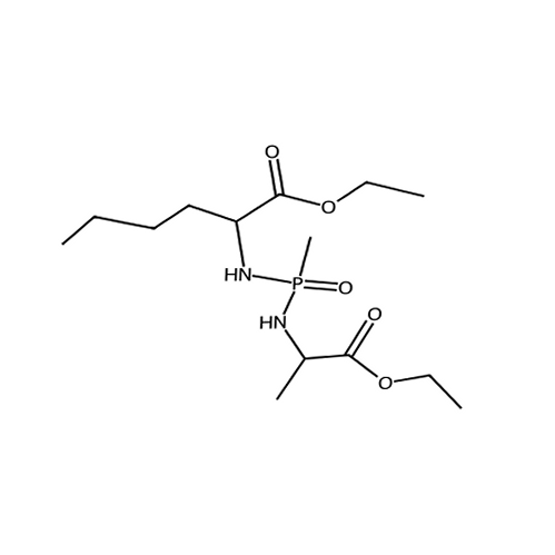 CCCCC(NP(C)(=O)NC(C)C(=O)OCC)C(=O)OCC